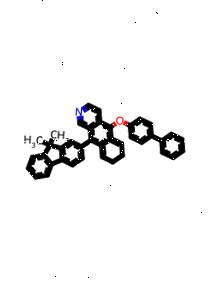 CC1(C)c2ccccc2-c2ccc(-c3c4c(c(Oc5ccc(-c6ccccc6)cc5)c5ccncc35)=CCCC=4)cc21